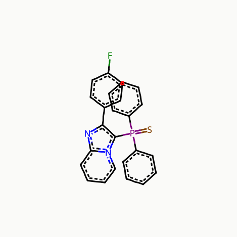 Fc1ccc(-c2nc3ccccn3c2P(=S)(c2ccccc2)c2ccccc2)cc1